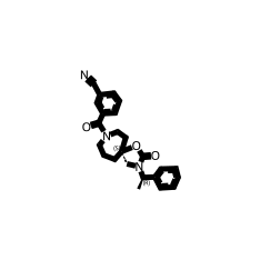 C[C@H](c1ccccc1)N1C[C@@]2(CCCN(C(=O)c3cccc(C#N)c3)CC2)OC1=O